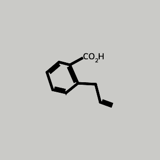 C=CCc1[c]cccc1C(=O)O